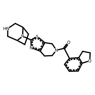 O=C(c1cccc2c1CCO2)N1CCc2nc(N3C4CCC3CNC4)sc2C1